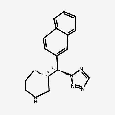 c1ccc2cc([C@H]([C@H]3CCCNC3)n3ncnn3)ccc2c1